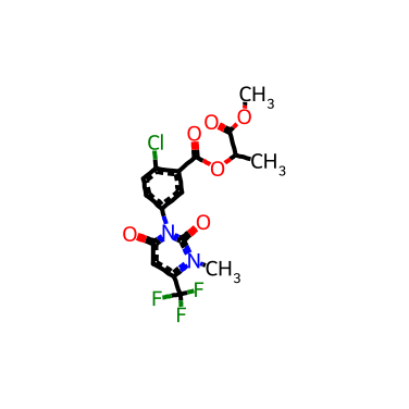 COC(=O)C(C)OC(=O)c1cc(-n2c(=O)cc(C(F)(F)F)n(C)c2=O)ccc1Cl